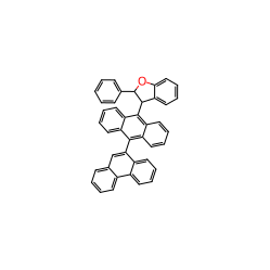 c1ccc(C2Oc3ccccc3C2c2c3ccccc3c(-c3cc4ccccc4c4ccccc34)c3ccccc23)cc1